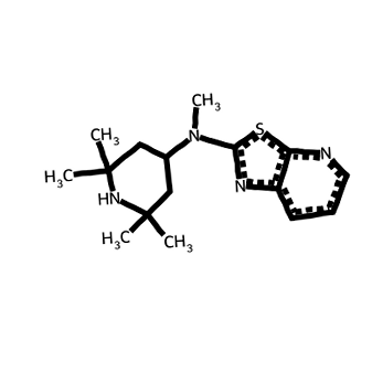 CN(c1nc2cccnc2s1)C1CC(C)(C)NC(C)(C)C1